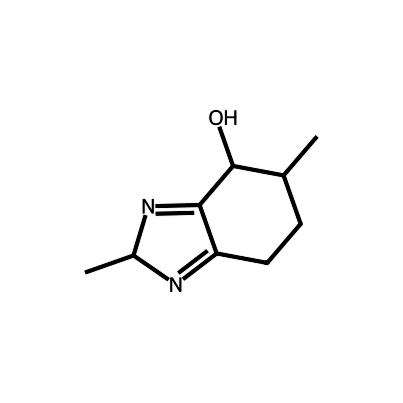 CC1N=C2CCC(C)C(O)C2=N1